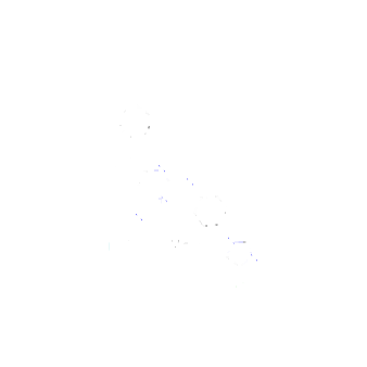 COc1cc(Nc2nc3c(c(N4CC(F)(F)C4)n2)CCC3c2ccc(OC(F)(F)F)cc2)ccc1-n1cnc(Cl)c1